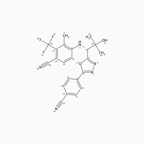 Cc1c(N[C@@H](c2nnc(-c3ccc(C#N)cc3)o2)C(C)(C)O)ccc(C#N)c1C(F)(F)F